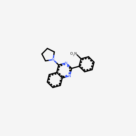 O=[N+]([O-])c1ccccc1-c1nc(N2CCCC2)c2ccccc2n1